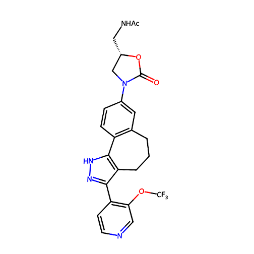 CC(=O)NC[C@H]1CN(c2ccc3c(c2)CCCc2c(-c4ccncc4OC(F)(F)F)n[nH]c2-3)C(=O)O1